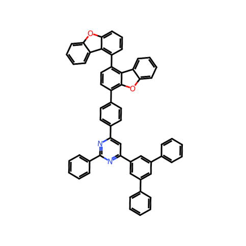 c1ccc(-c2cc(-c3ccccc3)cc(-c3cc(-c4ccc(-c5ccc(-c6cccc7oc8ccccc8c67)c6c5oc5ccccc56)cc4)nc(-c4ccccc4)n3)c2)cc1